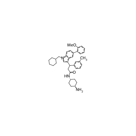 COc1ccccc1-c1ccc2c(c1)c(C(CC(=O)N[C@H]1CC[C@H](N)CC1)c1cccc(C)c1)cn2CC1CCCCC1